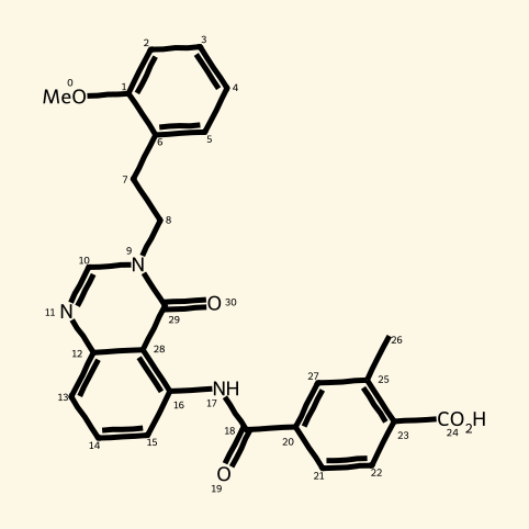 COc1ccccc1CCn1cnc2cccc(NC(=O)c3ccc(C(=O)O)c(C)c3)c2c1=O